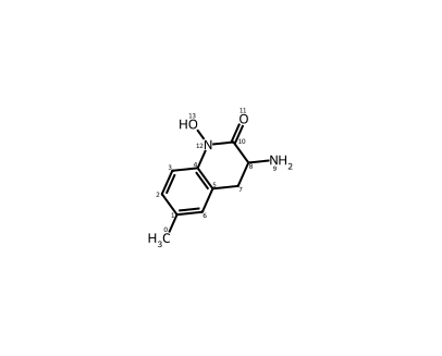 Cc1ccc2c(c1)CC(N)C(=O)N2O